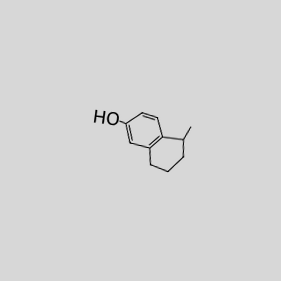 CC1CCCc2cc(O)ccc21